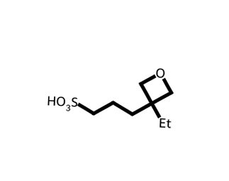 CCC1(CCCS(=O)(=O)O)COC1